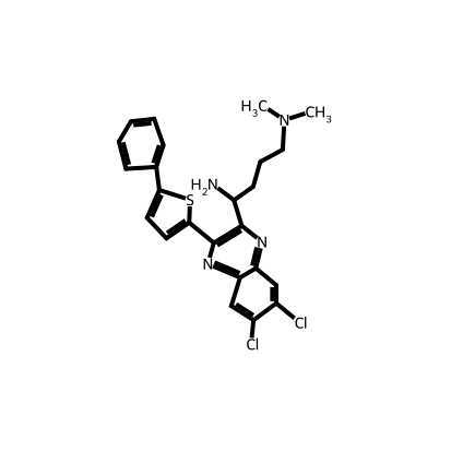 CN(C)CCCC(N)c1nc2cc(Cl)c(Cl)cc2nc1-c1ccc(-c2ccccc2)s1